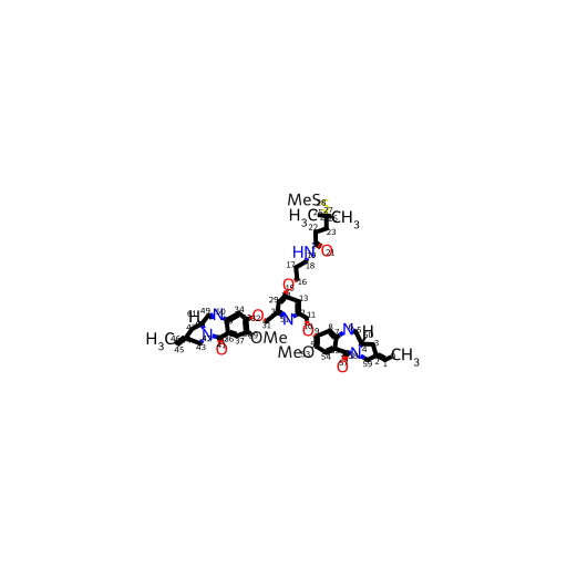 C/C=C1\C[C@H]2C=Nc3cc(OCc4cc(OCCCNC(=O)CCC(C)(C)SSC)cc(COc5cc6c(cc5OC)C(=O)N5C/C(=C/C)C[C@H]5C=N6)n4)c(OC)cc3C(=O)N2C1